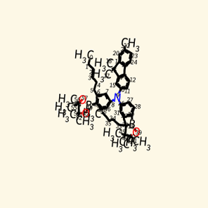 CCCCCCc1cc(N(c2ccc3c(c2)C(C)(C)c2cc(C)ccc2-3)c2ccc3c(c2)C2(CCCCC)B3OC(C)(C)C2(C)C)ccc1B1OC(C)(C)C(C)(C)O1